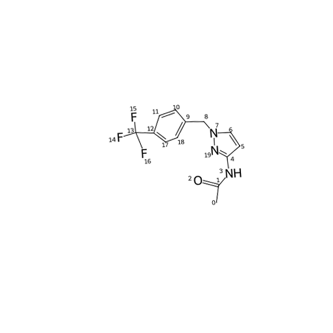 CC(=O)Nc1ccn(Cc2ccc(C(F)(F)F)cc2)n1